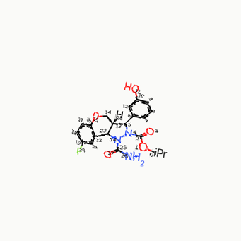 CC(C)OC(=O)N1[C@H](c2cccc(O)c2)[C@H]2COc3ccc(F)cc3C2N1C(N)=O